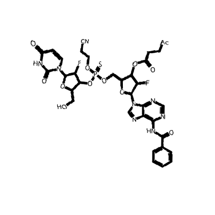 CC(=O)CCC(=O)OC1C(COP(=S)(OCCC#N)OC2C(CO)OC(n3ccc(=O)[nH]c3=O)C2F)OC(n2cnc3c(NC(=O)c4ccccc4)ncnc32)C1F